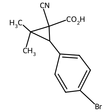 CC1(C)C(c2ccc(Br)cc2)C1(C#N)C(=O)O